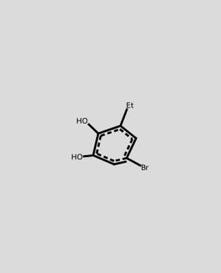 CCc1cc(Br)cc(O)c1O